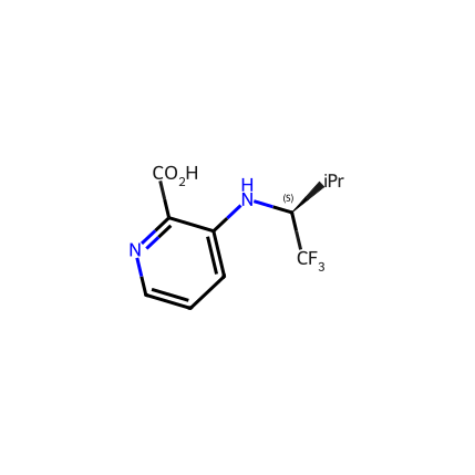 CC(C)[C@H](Nc1cccnc1C(=O)O)C(F)(F)F